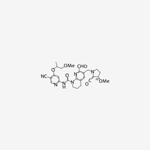 COCC(C)Oc1cc(NC(=O)N2CCCc3cc(CN4CC[C@@H](OC)C4=C=O)c(C=O)nc32)ncc1C#N